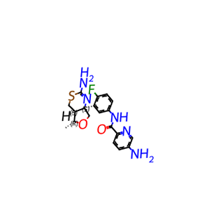 C[C@H]1OC[C@]2(c3cc(NC(=O)c4ccc(N)cn4)ccc3F)N=C(N)SC[C@H]12